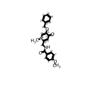 COc1ccc(C(=O)NCc2cc(=O)c(OCc3ccccc3)cn2C)cc1